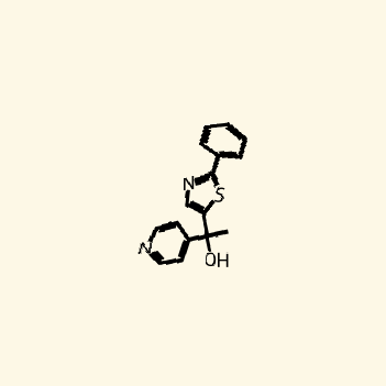 CC(O)(c1ccncc1)c1cnc(-c2ccccc2)s1